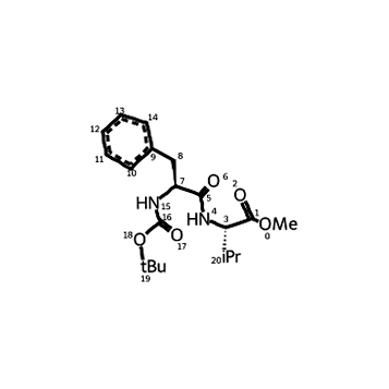 COC(=O)[C@@H](NC(=O)[C@H](Cc1ccccc1)NC(=O)OC(C)(C)C)C(C)C